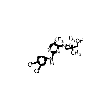 CC(C)(CO)CNc1nc(Nc2ccc(Cl)c(Cl)c2)ncc1C(F)(F)F